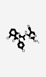 CC(Nc1nc(N)ncc1C#N)c1nc2cccc(Cl)c2c(=O)n1-c1ccc(Cl)cc1